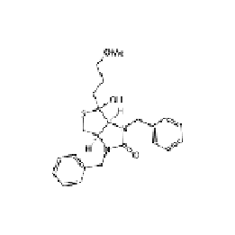 COCCCC1(O)SC[C@H]2[C@@H]1N(Cc1ccccc1)C(=O)N2Cc1ccccc1